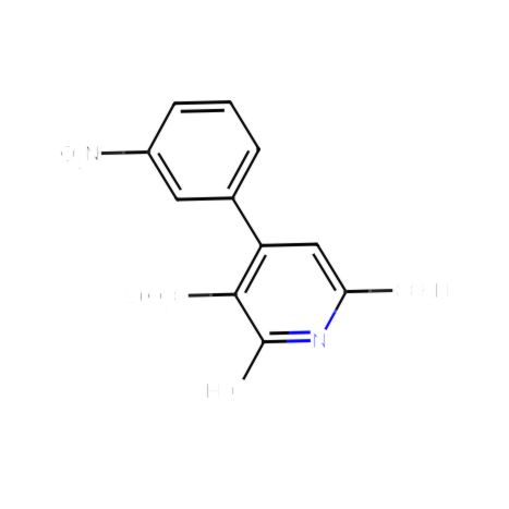 CCOC(=O)c1c(-c2cccc([N+](=O)[O-])c2)cc(C(=O)O)nc1C